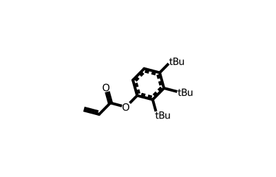 C=CC(=O)Oc1ccc(C(C)(C)C)c(C(C)(C)C)c1C(C)(C)C